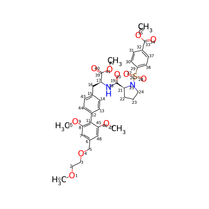 COCCOCc1cc(OC)c(-c2ccc(C[C@H](NC(=O)[C@@H]3CCCN3S(=O)(=O)c3ccc(C(=O)OC)cc3)C(=O)OC)cc2)c(OC)c1